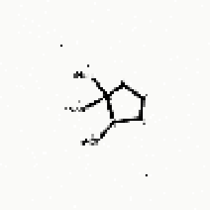 CCCCCCCCCC1CCCC1(CCCCCCCCC)CCCCCCCCC